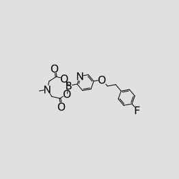 CN1CC(=O)OB(c2ccc(OCCc3ccc(F)cc3)cn2)OC(=O)C1